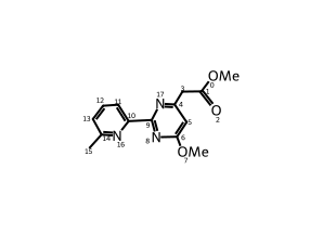 COC(=O)Cc1cc(OC)nc(-c2cccc(C)n2)n1